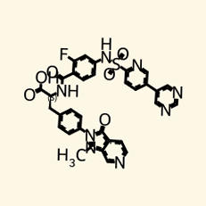 Cn1c2cnccc2c(=O)n1-c1ccc(C[C@H](NC(=O)c2ccc(NS(=O)(=O)c3ccc(-c4cncnc4)cn3)cc2F)C(=O)O)cc1